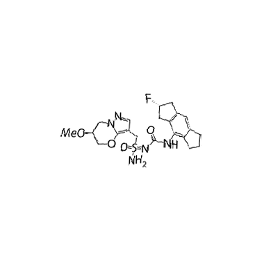 CO[C@@H]1COc2c(CS(N)(=O)=NC(=O)Nc3c4c(cc5c3C[C@H](F)C5)CCC4)cnn2C1